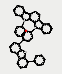 c1ccc(-c2cccc3c2oc2c(-c4ccc(-n5c6ccccc6c6ccc7c8ccccc8n(-c8ccccc8)c7c65)cc4)cccc23)cc1